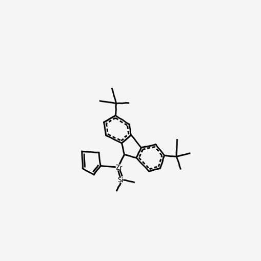 C[Si](C)=[Zr]([C]1=CC=CC1)[CH]1c2ccc(C(C)(C)C)cc2-c2cc(C(C)(C)C)ccc21